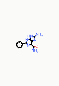 NC(=O)c1nc(-c2ccccc2)nc2[nH]c(N)nc12